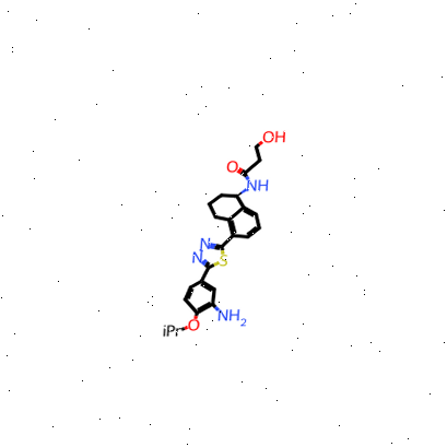 CC(C)Oc1ccc(-c2nnc(-c3cccc4c3CCC[C@H]4NC(=O)CCO)s2)cc1N